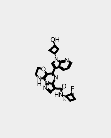 O=C(N[C@@H]1CC[C@H]1F)c1cnn2c3c(c(-c4cn([C@H]5C[C@H](O)C5)c5ncccc45)nc12)OCCN3